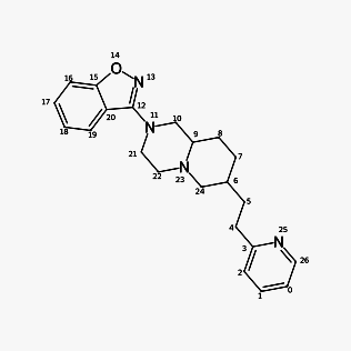 c1ccc(CCC2CCC3CN(c4noc5ccccc45)CCN3C2)nc1